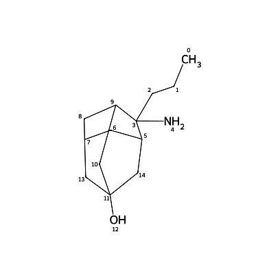 CCCC1(N)C2CC3CC1CC(O)(C3)C2